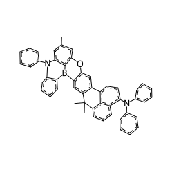 Cc1cc2c3c(c1)N(c1ccccc1)c1ccccc1B3c1cc3c(cc1O2)-c1ccc(N(c2ccccc2)c2ccccc2)c2cccc(c12)C3(C)C